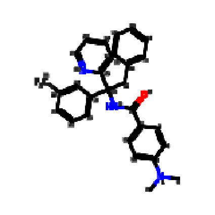 CN(C)c1ccc(C(=O)NC(Cc2ccccc2)(c2cccc(C(F)(F)F)c2)c2ccccn2)cc1